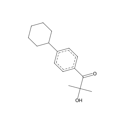 CC(C)(O)C(=O)c1ccc(C2CCCCC2)cc1